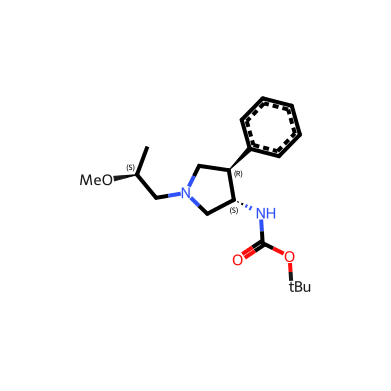 CO[C@@H](C)CN1C[C@@H](NC(=O)OC(C)(C)C)[C@H](c2ccccc2)C1